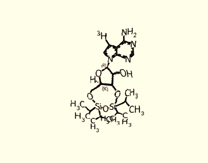 [3H]c1cn([C@@H]2O[C@@H]3CO[Si](C(C)C)(C(C)C)O[Si](C(C)C)(C(C)C)OC3C2O)c2ncnc(N)c12